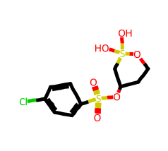 O=S(=O)(OC1CCOS(O)(O)C1)c1ccc(Cl)cc1